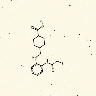 COC(=O)C1CCC(CNc2ccccc2NC(=O)CBr)CC1